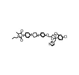 CCCN1C(=O)N(c2ccc(N3CCN(c4ccc(OCC5COC(Cn6ccnc6)(c6ccc(Cl)cc6Cl)O5)cc4)CC3)cc2)C(=O)C1C